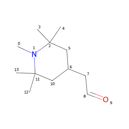 CN1C(C)(C)CC(CC=O)CC1(C)C